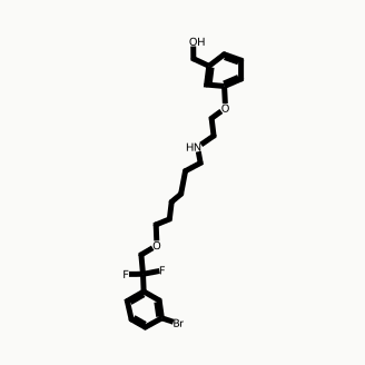 OCc1cccc(OCCNCCCCCCOCC(F)(F)c2cccc(Br)c2)c1